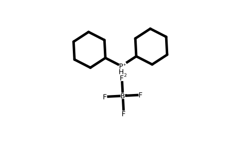 C1CCC([PH2+]C2CCCCC2)CC1.F[B-](F)(F)F